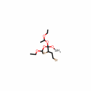 CCOC(C)OC(O[SiH3])(OC(C)OCC)C(Br)CCBr